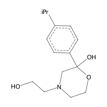 CC(C)c1ccc(C2(O)CN(CCO)CCO2)cc1